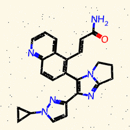 NC(=O)/C=C/c1c(-c2c(-c3ccn(C4CC4)n3)nc3n2CCC3)ccc2ncccc12